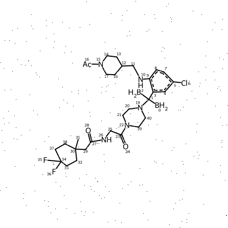 BC(B)(c1cc(Cl)ccc1NCC1CCN(C(C)=O)CC1)N1CCN(C(=O)CNC(=O)CC2(C)CCC(F)(F)CC2)CC1